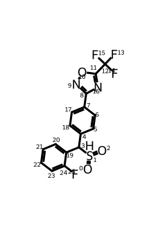 O=[SH](=O)C(c1ccc(-c2noc(C(F)(F)F)n2)cc1)c1ccccc1F